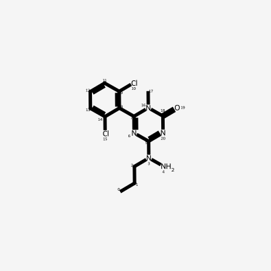 CCCN(N)c1nc(-c2c(Cl)cccc2Cl)n(C)c(=O)n1